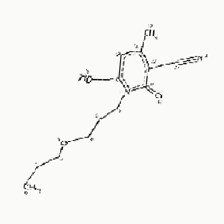 CCCOCCCn1c(O)cc(C)c(C#N)c1=O